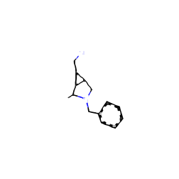 CC1C2C(CN)C2CN1Cc1ccccc1